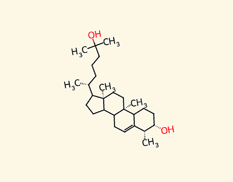 C[C@H](CCCC(C)(C)O)C1CCC2C3CC=C4C(CC[C@H](O)[C@@H]4C)[C@]3(C)CC[C@@]21C